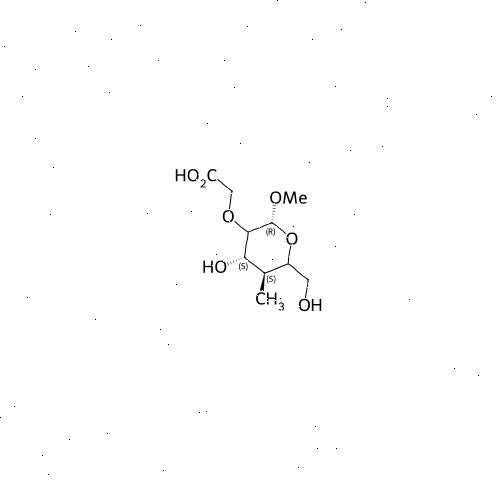 CO[C@@H]1OC(CO)[C@@H](C)[C@H](O)C1OCC(=O)O